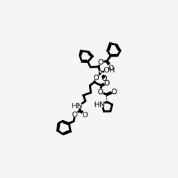 O=C(NCCCCC(OP(=O)(O)C(Cc1ccccc1)OC(=O)c1ccccc1)C(=O)OC(=O)[C@@H]1CCCN1)OCc1ccccc1